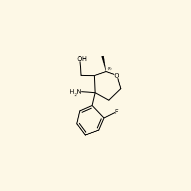 C[C@H]1OCCC(N)(c2ccccc2F)C1CO